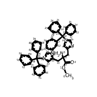 COC(=O)C(N)(Cc1cn(C(c2ccccc2)(c2ccccc2)c2ccccc2)cn1)Cc1cn(C(c2ccccc2)(c2ccccc2)c2ccccc2)cn1